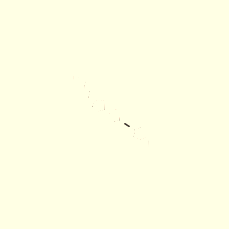 CCCCCC1CCC(C2CCC(C#CC3CCC(CC)CC3)OC2)CC1